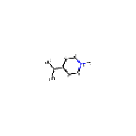 CCC(C(C)C)C1CCN(C)CC1